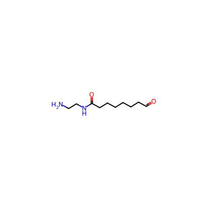 NCCNC(=O)CCCCCCC=O